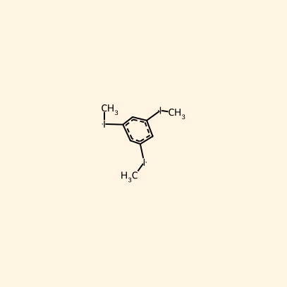 C[I]c1cc([I]C)cc([I]C)c1